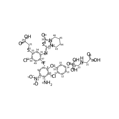 Nc1c([N+](=O)[O-])ccc(Oc2ccccc2)c1Cl.O=C(O)CNCP(=O)(O)O.O=C(O)CSc1cc(N=c2sc(=O)n3n2CCCC3)c(F)cc1Cl